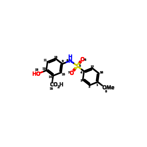 COc1ccc(S(=O)(=O)Nc2ccc(O)c(C(=O)O)c2)cc1